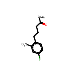 COC(=O)CCCc1ccc(F)cc1[N+](=O)[O-]